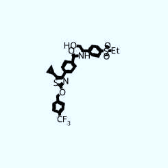 CCS(=O)(=O)c1ccc(C(CO)NC(=O)c2ccc(-c3nc(OCc4ccc(C(F)(F)F)cc4)sc3C3CC3)cc2)cc1